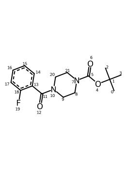 CC(C)(C)OC(=O)N1CCN(C(=O)c2ccccc2F)CC1